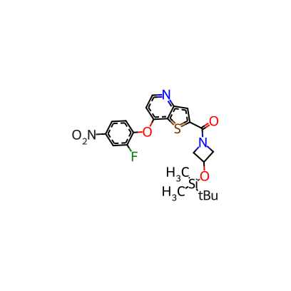 CC(C)(C)[Si](C)(C)OC1CN(C(=O)c2cc3nccc(Oc4ccc([N+](=O)[O-])cc4F)c3s2)C1